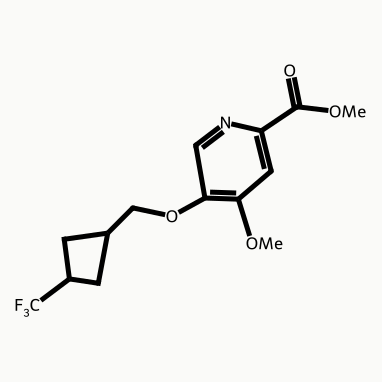 COC(=O)c1cc(OC)c(OCC2CC(C(F)(F)F)C2)cn1